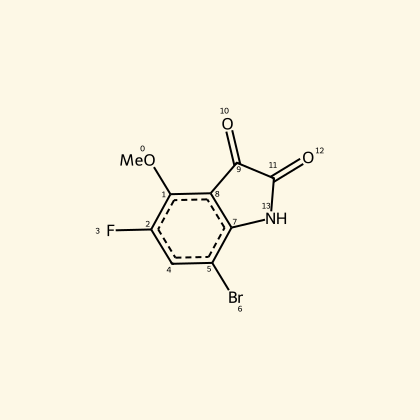 COc1c(F)cc(Br)c2c1C(=O)C(=O)N2